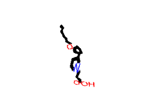 CCCCCCCCOc1cccc(C2CCCN(CCCC(=O)O)C2)c1